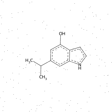 CC(C)c1cc(O)c2cc[nH]c2c1